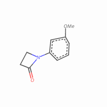 COc1cccc(N2CCC2=O)c1